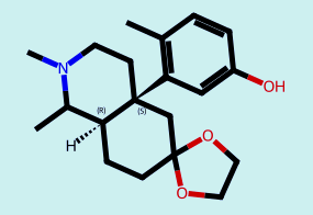 Cc1ccc(O)cc1[C@]12CCN(C)C(C)[C@@H]1CCC1(C2)OCCO1